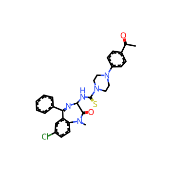 CC(=O)c1ccc(N2CCN(C(=S)NC3N=C(c4ccccc4)c4cc(Cl)ccc4N(C)C3=O)CC2)cc1